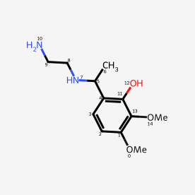 COc1ccc(C(C)NCCN)c(O)c1OC